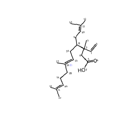 C=CC(C)(CC(=O)O)C(CC=C(C)C)C/C=C(\C)CCC=C(C)C